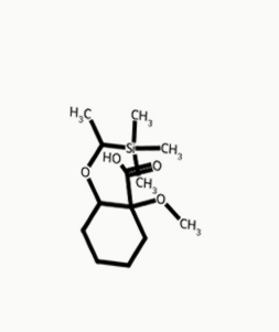 COC1(C(=O)O)CCCCC1OC(C)[Si](C)(C)C